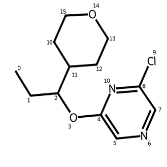 CCC(Oc1cncc(Cl)n1)C1CCOCC1